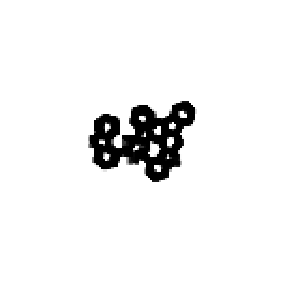 c1ccc(-c2nc(-c3cccc4sc5ccccc5c34)nc(-c3cccc4sc5cc6c7c(cccc7c5c34)-c3ccccc3-6)n2)cc1